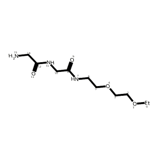 CCOCCOCCNC(=O)CNC(=O)CN